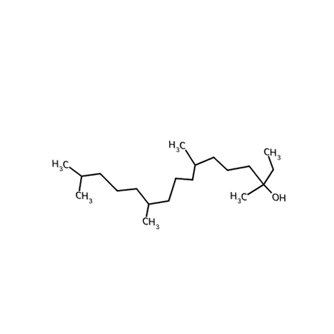 CCC(C)(O)CCCC(C)CCCC(C)CCCC(C)C